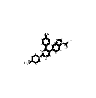 N#Cc1ccc(-c2nc(N3CCC(N)CC3)ncc2-c2ccc3c(c2)ncn3C(F)F)cc1